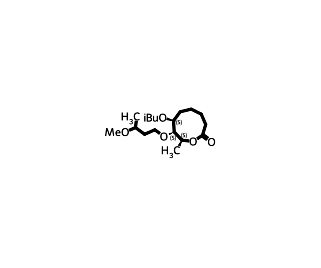 COC(C)CCO[C@H]1[C@H](C)OC(=O)CCCC[C@@H]1OCC(C)C